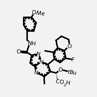 COc1ccc(CNC(=O)c2cc3nc(C)c([C@H](OC(C)(C)C)C(=O)O)c(-c4cc(F)c5c(c4C)CCCO5)n3n2)cc1